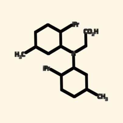 CC1CCC(C(C)C)C(N(CC(=O)O)C2CC(C)CCC2C(C)C)C1